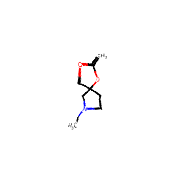 C=C1OCC2(CCN(C)C2)O1